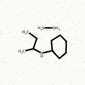 CCC(C)NC1CCCCC1.[SiH3][SiH3]